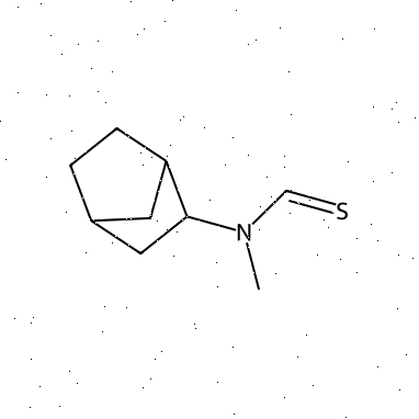 CN(C=S)C1CC2CCC1C2